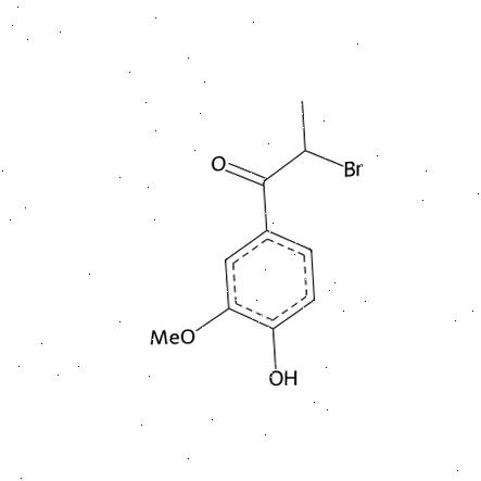 COc1cc(C(=O)C(C)Br)ccc1O